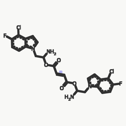 NC(Cn1ccc2c(Cl)c(F)ccc21)OC(=O)/C=C/C(=O)OC(N)Cn1ccc2c(Cl)c(F)ccc21